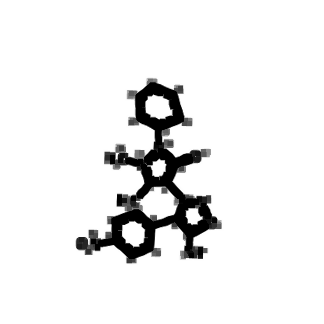 Cc1c(-[n+]2noc([NH-])c2-c2ccc([N+](=O)[O-])cc2)c(=O)n(-c2ccccc2)n1C